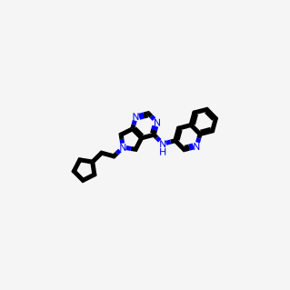 c1ccc2ncc(Nc3ncnc4c3CN(CCC3CCCC3)C4)cc2c1